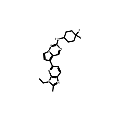 CCn1c(C)nc2ccc(-c3ccn4nc(NC5CCC(F)(F)CC5)ncc34)nc21